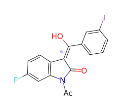 CC(=O)N1C(=O)/C(=C(/O)c2cccc(I)c2)c2ccc(F)cc21